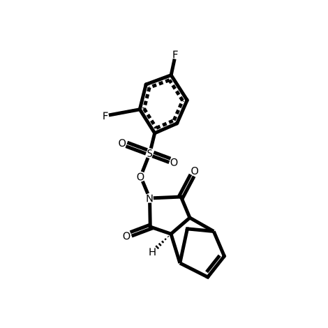 O=C1C2C3C=CC(C3)[C@H]2C(=O)N1OS(=O)(=O)c1ccc(F)cc1F